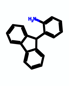 Nc1ccccc1C1c2ccccc2-c2ccccc21